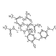 CCOc1ccc(Cc2cc([C@]3(O)O[C@H](COC(C)=O)[C@@H](OC(C)=O)[C@H](OC(C)=O)[C@H]3OC(C)=O)ccc2Cl)cc1